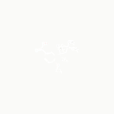 COc1ccc(C(=O)O)cc1C(C)(C)CC(C)(C)C